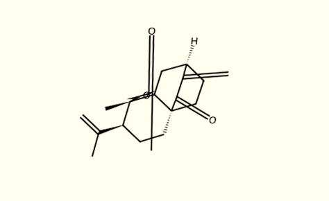 C=C1C(=O)[C@@]23CC[C@@H]1C[C@@]21OC(=O)CC[C@@]1(C)[C@H](C(=C)C)CC3